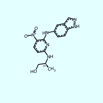 C[C@@H](CO)Nc1ccc([N+](=O)[O-])c(Nc2ccc3[nH]ncc3c2)n1